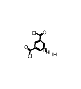 I.I.I.O=C(Cl)c1cccc(C(=O)Cl)c1